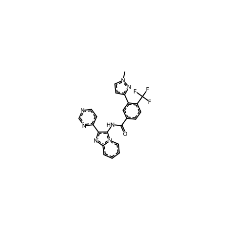 Cn1ccc(-c2cc(C(=O)Nc3c(-c4ccncn4)nc4ccccn34)ccc2C(F)(F)F)n1